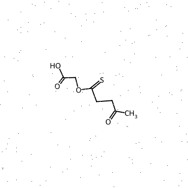 CC(=O)CCC(=S)OCC(=O)O